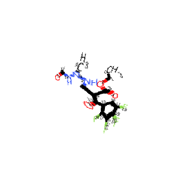 CCOC(=O)C(=CNN(C)NC=O)C(=O)c1cc(F)c(F)c(F)c1F